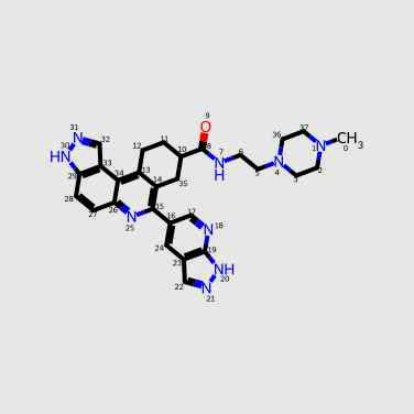 CN1CCN(CCNC(=O)C2CCc3c(c(-c4cnc5[nH]ncc5c4)nc4ccc5[nH]ncc5c34)C2)CC1